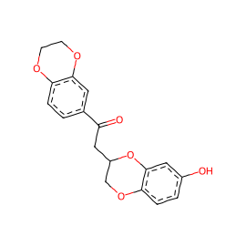 O=C(CC1COc2ccc(O)cc2O1)c1ccc2c(c1)OCCO2